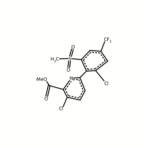 COC(=O)c1nc(-c2c(Cl)cc(C(F)(F)F)cc2S(C)(=O)=O)ccc1Cl